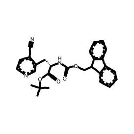 CC(C)(C)OC(=O)[C@H](Cc1cnccc1C#N)NC(=O)OCC1c2ccccc2-c2ccccc21